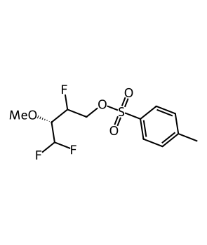 CO[C@@H](C(F)F)C(F)COS(=O)(=O)c1ccc(C)cc1